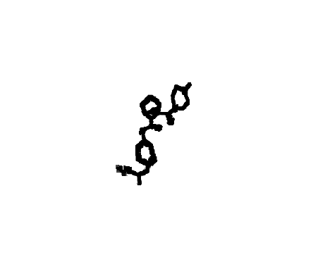 CC(N)Cc1ccc(OC(=O)C2C3CCC(O3)C2C(=O)N2CCN(C)CC2)cc1